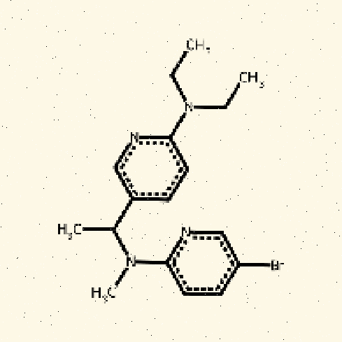 CCN(CC)c1ccc(C(C)N(C)c2ccc(Br)cn2)cn1